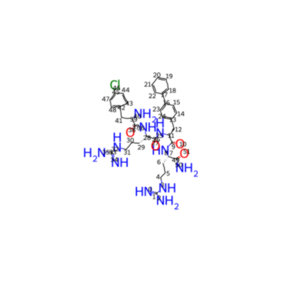 N=C(N)NCCC[C@H](NC(=O)[C@H](Cc1ccc(-c2ccccc2)cc1)NC(=O)[C@H](CCCNC(=N)N)NC(=O)[C@@H](N)Cc1ccc(Cl)cc1)C(N)=O